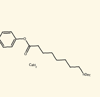 CCCCCCCCCCCCCCCCCC(=O)Oc1ccccc1.[CaH2]